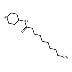 CCCCCCCCCC(=O)NC1CCNCC1